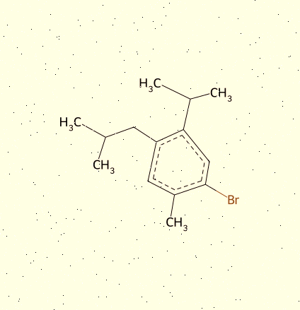 Cc1cc(CC(C)C)c(C(C)C)cc1Br